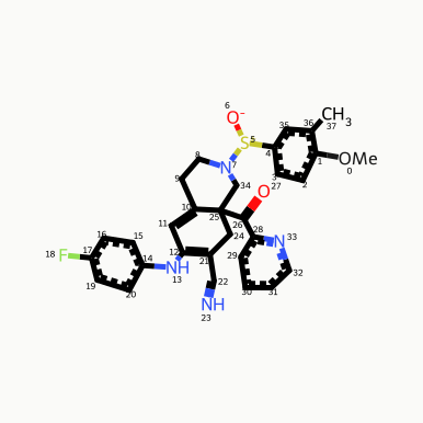 COc1ccc([S+]([O-])N2CCC3=CC(Nc4ccc(F)cc4)=C(C=N)CC3(C(=O)c3ccccn3)C2)cc1C